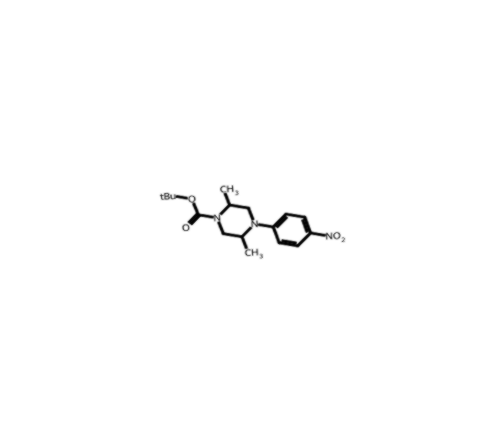 CC1CN(c2ccc([N+](=O)[O-])cc2)C(C)CN1C(=O)OC(C)(C)C